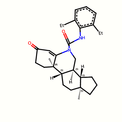 CCc1cccc(CC)c1NC(=O)N1C[C@H]2[C@@H]3CCC[C@@]3(C)CC[C@@H]2[C@@]2(C)CCC(=O)C=C12